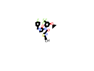 C#Cc1nc(C(=O)N(c2cc(OC3CC3)cc(C(F)(F)F)c2)C2CCN(Cc3ccc(F)cc3)C2=O)cs1